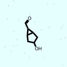 O=CC1C2CC(O)CC12